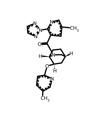 Cc1ccc(O[C@@H]2C[C@H]3CC[C@@H]2N(C(=O)c2cc(C)cnc2-n2nccn2)C3)nc1